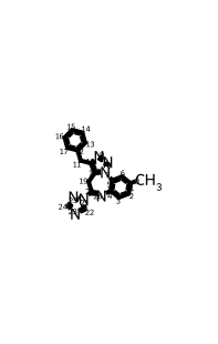 Cc1ccc2c(c1)-n1nnc(Cc3ccccc3)c1CC(n1cncn1)=N2